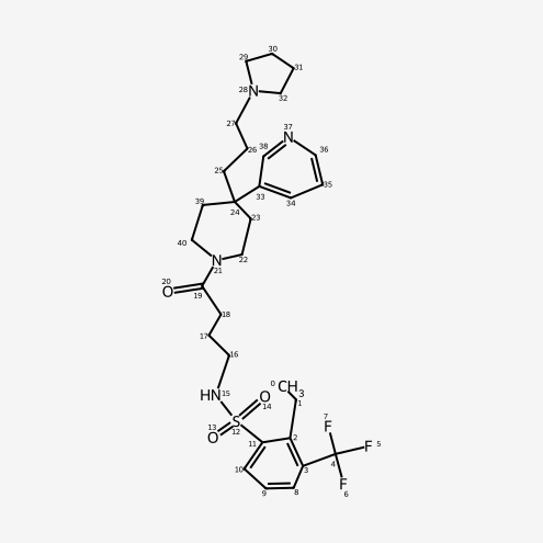 CCc1c(C(F)(F)F)cccc1S(=O)(=O)NCCCC(=O)N1CCC(CCCN2CCCC2)(c2cccnc2)CC1